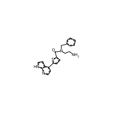 NCCN(Cc1ccccc1)C(=O)c1ccc(-c2ccnc3[nH]ccc23)s1